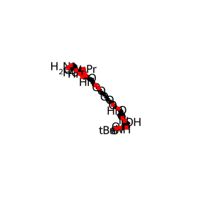 CCCn1/c(=N/C(O)c2cccc(C(N)=O)c2)[nH]c2ccc(/C=C/C(=O)NCCCOCCOCCOCCOCCOCCCNC(=O)c3ccc(/N=N/c4cc(CCNC(=O)OC(C)(C)C)ccc4O)cc3)cc21